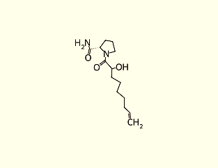 C=CCCCCCC(O)C(=O)N1CCC[C@H]1C(N)=O